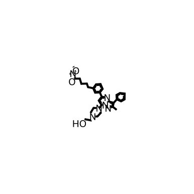 CON(C)C(=O)CCCCc1cccc(-c2cc(N3CCN(CCO)CC3)n3nc(C)c(-c4ccccc4)c3n2)c1